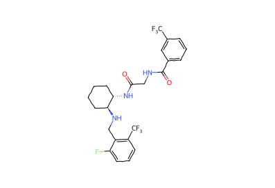 O=C(CNC(=O)c1cccc(C(F)(F)F)c1)N[C@H]1CCCC[C@@H]1NCc1c(F)cccc1C(F)(F)F